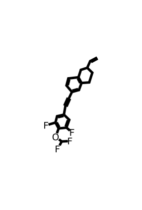 C=CC1CCc2cc(C#Cc3cc(F)c(OC(F)F)c(F)c3)ccc2C1